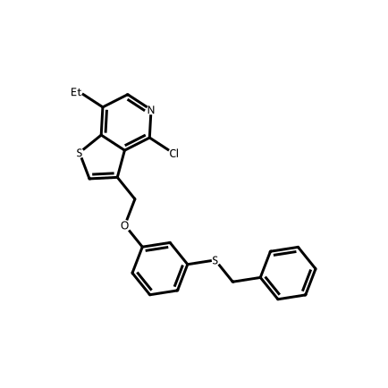 CCc1cnc(Cl)c2c(COc3cccc(SCc4ccccc4)c3)csc12